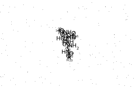 COC(=O)[C@H](CCNC(=O)OC(C)(C)C)NC(=O)[C@@H](NC(=O)[C@@H](N)CCNC(=O)OC(C)(C)C)[C@@H](C)O